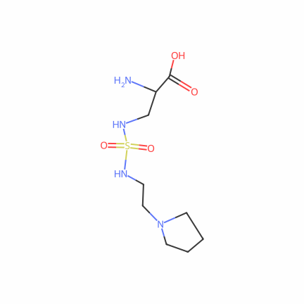 NC(CNS(=O)(=O)NCCN1CCCC1)C(=O)O